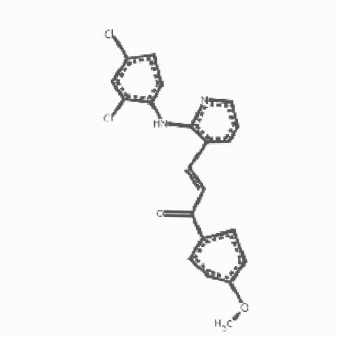 COc1ccc(C(=O)C=Cc2cccnc2Nc2ccc(Cl)cc2Cl)cc1